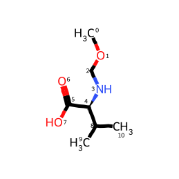 COCN[C@H](C(=O)O)C(C)C